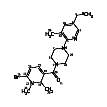 CCc1cnc(N2CCN(C(=O)C3=CC=C(Br)N(C)C3C)CC2)c(C)c1